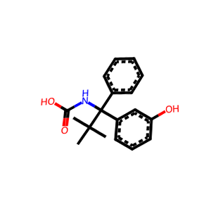 CC(C)(C)C(NC(=O)O)(c1ccccc1)c1cccc(O)c1